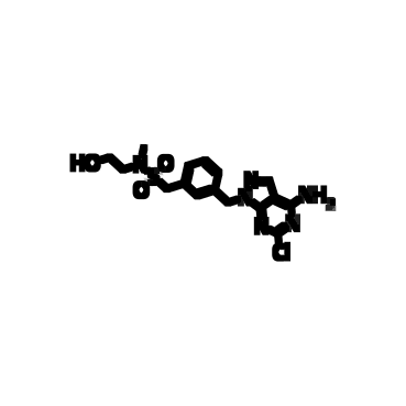 CN(CCO)S(=O)(=O)Cc1cccc(Cn2ncc3c(N)nc(Cl)nc32)c1